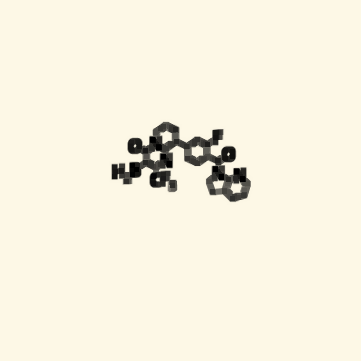 Bc1c(C(F)(F)F)nc2c(-c3ccc(C(=O)N4CCc5cccnc54)c(F)c3)cccn2c1=O